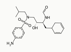 CC(C)CN(C[C@@H](O)[C@H](CC1C=CC=CC1)NC=O)S(=O)(=O)c1ccc(N)cc1